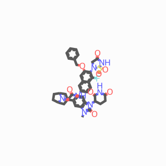 Cn1c(=O)n(C2CCC(=O)NC2=O)c2ccc(C3CC4CCC(C3)N4CC(=O)Nc3ccc4c(F)c(N5CC(=O)NS5(=O)=O)c(OCc5ccccc5)cc4c3)cc21